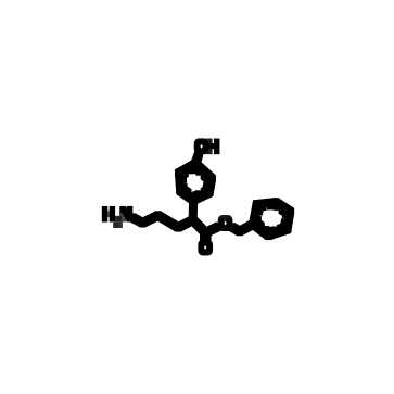 NCCCC(C(=O)OCc1ccccc1)c1ccc(O)cc1